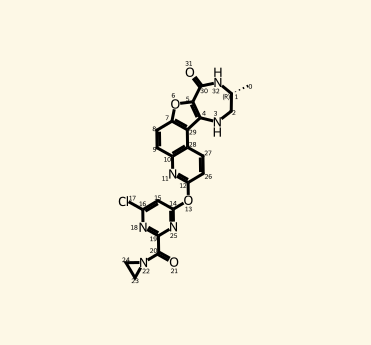 C[C@@H]1CNc2c(oc3ccc4nc(Oc5cc(Cl)nc(C(=O)N6CC6)n5)ccc4c23)C(=O)N1